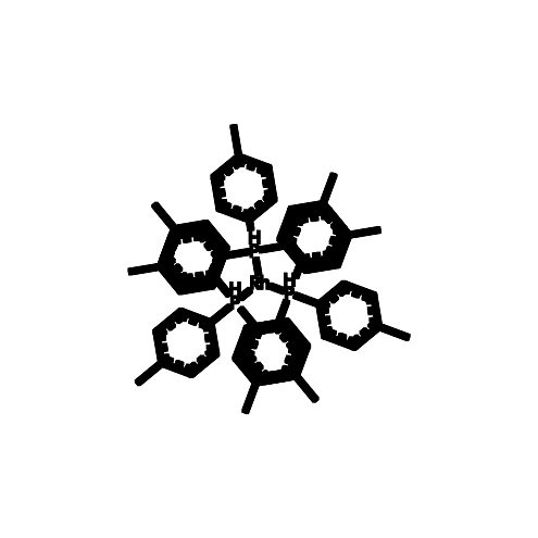 Cc1ccc([PH](c2ccc(C)cc2)(c2ccc(C)cc2)[Rh]([PH](c2ccc(C)cc2)(c2ccc(C)cc2)c2ccc(C)cc2)[PH](c2ccc(C)cc2)(c2ccc(C)cc2)c2ccc(C)cc2)cc1